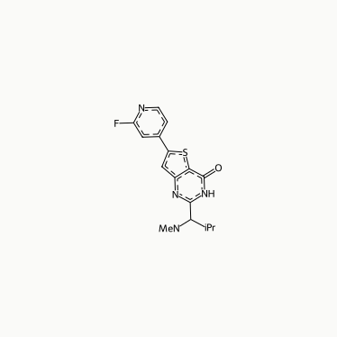 CNC(c1nc2cc(-c3ccnc(F)c3)sc2c(=O)[nH]1)C(C)C